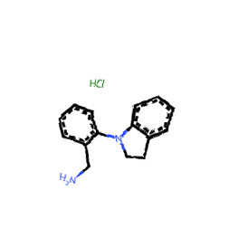 Cl.NCc1ccccc1N1CCc2ccccc21